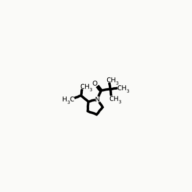 CC(C)C1CCCN1C(=O)C(C)(C)C